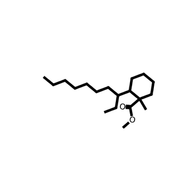 CCCCCCCC(CC)C1CCCCC1(C)C(=O)OC